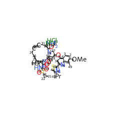 COc1ccc2c(O[C@@H]3C[C@H]4C(=O)N[C@]5(C(=O)NS(=O)(=O)C6CC6)C[C@H]5C=CCCCCC[C@H](N)C(=O)N4C3)cc(-c3nc(C(C)C)cs3)nc2c1C.Cl.Cl